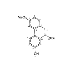 COc1ccc(F)c(-c2ncc(O)cc2CC(C)(C)C)c1